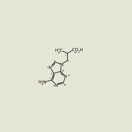 CC(Cn1cnc2c(N)ncnc21)C(=O)O